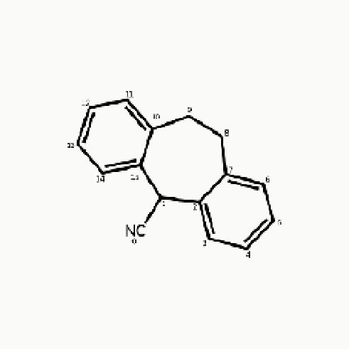 N#CC1c2ccccc2CCc2ccccc21